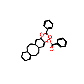 O=C(OC1CC2CCC3CCCCC3CCC2CC1OC(=O)c1ccccc1)c1ccccc1